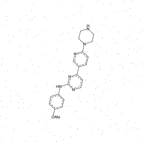 COc1ccc(Nc2nccc(-c3ccc(N4CCNCC4)nc3)n2)cc1